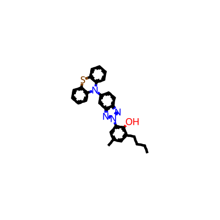 CCCCc1cc(C)cc(-n2nc3ccc(N4c5ccccc5Sc5ccccc54)cc3n2)c1O